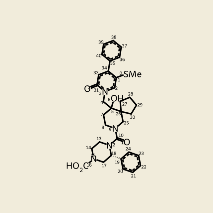 CSc1cn(CC2(O)CCN(C(=O)N3CCN(C(=O)O)C[C@H]3c3ccccc3)CC23CCCC3)c(=O)cc1-c1ccccc1